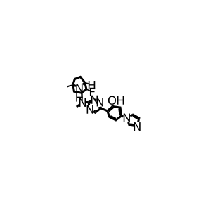 CN(c1ncc(-c2ccc(-n3ccnc3)cc2O)nn1)[C@H]1C[C@]2(C)CC[C@@H](N2)[C@H]1F